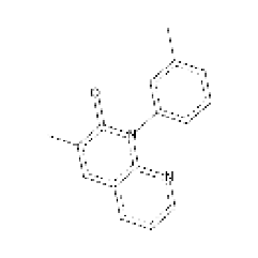 Cc1cccc(-n2c(=O)c(C)cc3cccnc32)c1